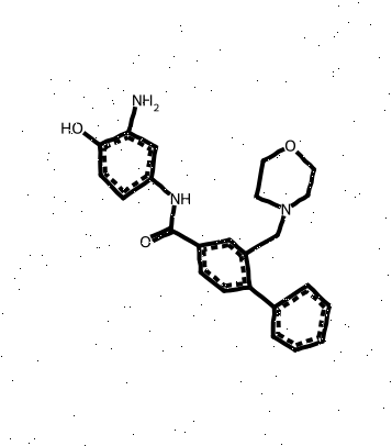 Nc1cc(NC(=O)c2ccc(-c3ccccc3)c(CN3CCOCC3)c2)ccc1O